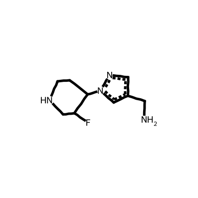 NCc1cnn(C2CCNCC2F)c1